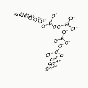 [O-2].[O-2].[O-2].[O-2].[O-]B([O-])[O-].[O-]B([O-])[O-].[O-]B([O-])[O-].[O-]B([O-])[O-].[Sn+4].[Sn+4].[Sn+4].[Sn+4].[Sn+4]